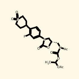 CC(=O)OC(C)OC(=O)N(C[C@H]1CN(c2ccc(C3CCS(=O)(=O)CC3)c(F)c2)C(=O)O1)C(C)=O